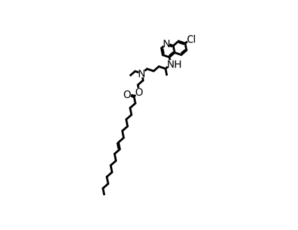 CCCCCCCCC=CCCCCCCCC(=O)OCCN(CC)CCCC(C)Nc1ccnc2cc(Cl)ccc12